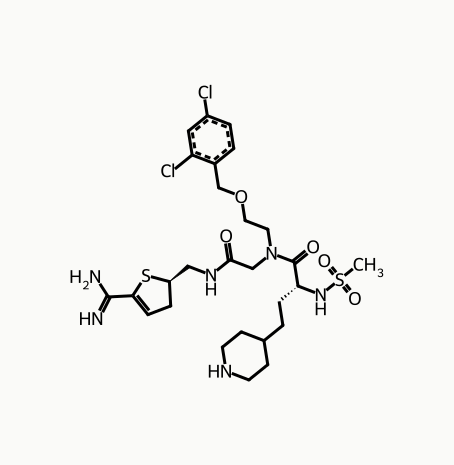 CS(=O)(=O)N[C@H](CCC1CCNCC1)C(=O)N(CCOCc1ccc(Cl)cc1Cl)CC(=O)NC[C@H]1CC=C(C(=N)N)S1